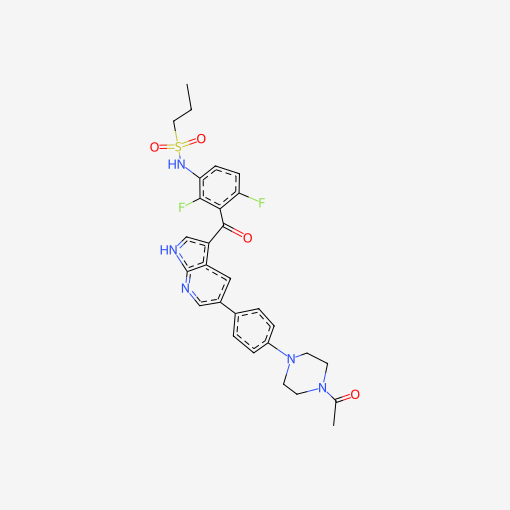 CCCS(=O)(=O)Nc1ccc(F)c(C(=O)c2c[nH]c3ncc(-c4ccc(N5CCN(C(C)=O)CC5)cc4)cc23)c1F